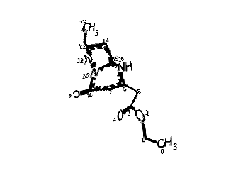 CCOC(=O)Cc1cc(=O)n2nc(C)cc2[nH]1